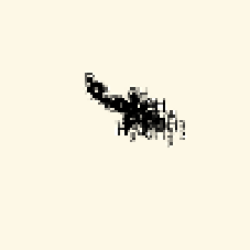 Cc1nc(C)c([C@H](OC(C)(C)C)C(=O)OC(C)C)c(N2CC3CC3C2)c1-c1ccc(OCCc2ccc(F)cc2)cc1